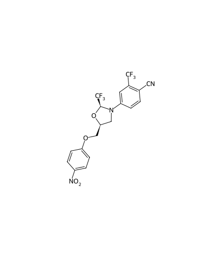 N#Cc1ccc(N2C[C@@H](COc3ccc([N+](=O)[O-])cc3)O[C@H]2C(F)(F)F)cc1C(F)(F)F